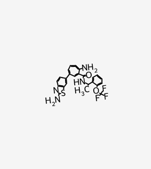 CC(NC(=O)C1=CC(c2ccc3nc(N)sc3c2)=CC=C=C1N)c1ccccc1OC(F)(F)F